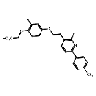 Cc1cc(SCCc2ccc(-c3ccc(C(F)(F)F)cc3)nc2C)ccc1OCC(=O)O